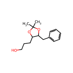 CC1(C)OC(CCCO)C(Cc2ccccc2)O1